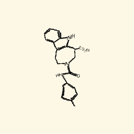 CCOC(=O)C1CN(C(=O)Nc2ccc(C)cc2)CCc2c1[nH]c1ccccc21